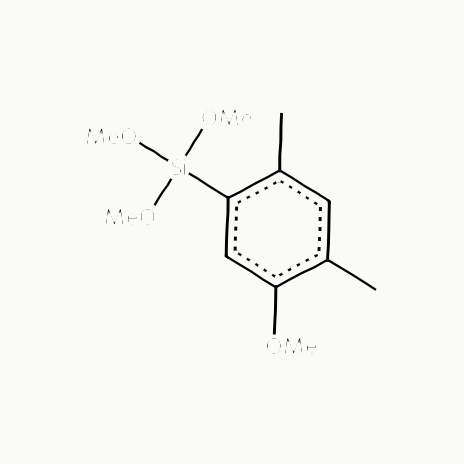 COc1cc([Si](OC)(OC)OC)c(C)cc1C